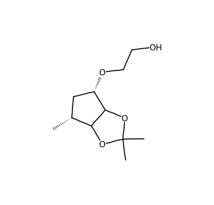 C[C@@H]1C[C@H](OCCO)C2OC(C)(C)OC21